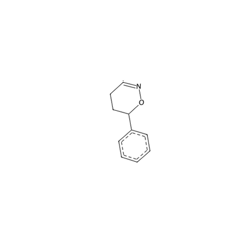 [C]1=NOC(c2ccccc2)CC1